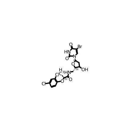 C[C@H](Oc1ccc(Cl)cc1Cl)C(=O)NC[C@@H]1O[C@H](n2cc(Br)c(=O)[nH]c2=O)CC1O